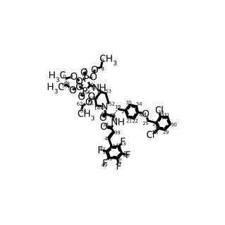 CCOOP(=O)(OOCC)C(NC1CCN(C(=O)[C@H](Cc2ccc(OCc3c(Cl)cccc3Cl)cc2)NC(=O)C=Cc2c(F)c(F)c(F)c(F)c2F)CC1)P(=O)(OOCC)OOCC